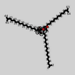 CC(C)CCCCCCCCCCCCCCC(=O)[O][Ti](=[O])([O]OC(C)C)([C](=O)CCCCCCCCCCCCCCC(C)C)[C](=O)CCCCCCCCCCCCCCC(C)C